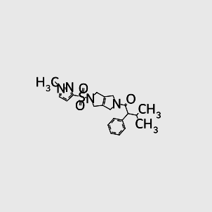 CC(C)C(C(=O)N1CC2=C(C1)CN(S(=O)(=O)c1ccn(C)n1)C2)c1ccccc1